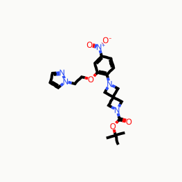 CC(C)(C)OC(=O)N1CC2(C1)CN(c1ccc([N+](=O)[O-])cc1OCCn1cccn1)C2